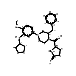 COc1ccc(N2CCN(C(=O)C3CCC(=O)N3)C(Cc3ccccc3)C2)cc1OC1CCCC1